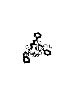 C[C@@H](C(=O)NC(C=CC(=O)NN1CCc2ccccc21)CCc1ccccc1)N(C(=O)OC(C)(C)C)c1ccccc1